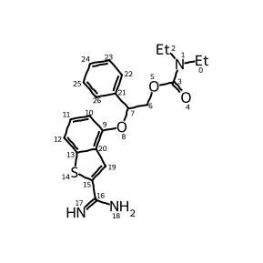 CCN(CC)C(=O)OCC(Oc1cccc2sc(C(=N)N)cc12)c1ccccc1